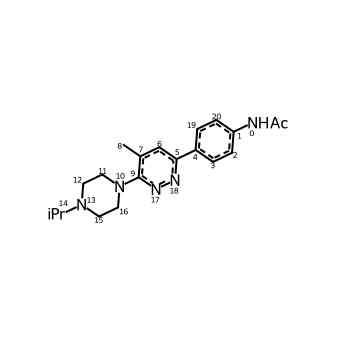 CC(=O)Nc1ccc(-c2cc(C)c(N3CCN(C(C)C)CC3)nn2)cc1